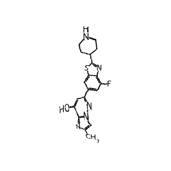 Cc1cn2nc(-c3cc(F)c4nc(C5CCNCC5)sc4c3)cc(O)c2n1